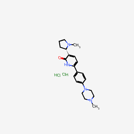 CN1CCN(c2ccc(-c3ccc([C@@H]4CCCN4C)c(=O)[nH]3)cc2)CC1.Cl.Cl